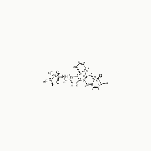 Cn1ccc2nc(-c3ccc(CNS(=O)(=O)C(F)C(F)F)cc3)c(-c3ccccc3)cc2c1=O